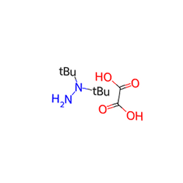 CC(C)(C)N(N)C(C)(C)C.O=C(O)C(=O)O